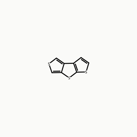 c1cc2c(s1)sc1cscc12